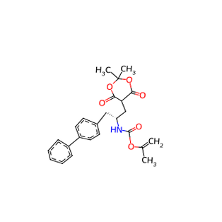 C=C(C)OC(=O)N[C@H](Cc1ccc(-c2ccccc2)cc1)CC1C(=O)OC(C)(C)OC1=O